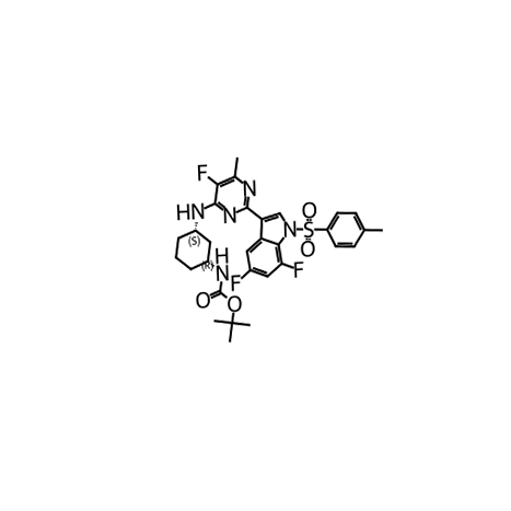 Cc1ccc(S(=O)(=O)n2cc(-c3nc(C)c(F)c(N[C@H]4CCC[C@@H](NC(=O)OC(C)(C)C)C4)n3)c3cc(F)cc(F)c32)cc1